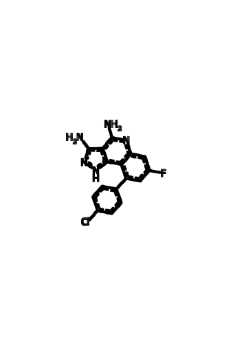 Nc1n[nH]c2c1c(N)nc1cc(F)cc(-c3ccc(Cl)cc3)c12